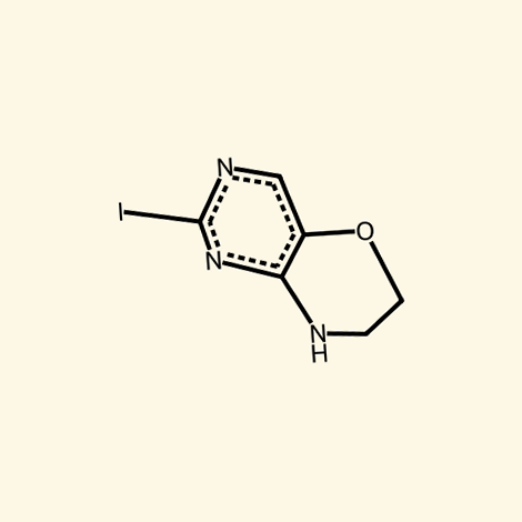 Ic1ncc2c(n1)NCCO2